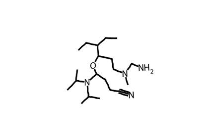 CCC(CC)C(CCN(C)CN)OC(CCC#N)N(C(C)C)C(C)C